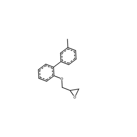 Cc1cccc(-c2ccccc2OCC2CO2)c1